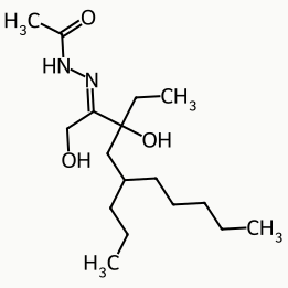 CCCCCC(CCC)CC(O)(CC)/C(CO)=N/NC(C)=O